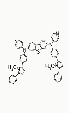 Cn1c(-c2ccccc2)ccc1-c1ccc(N(c2ccncc2)c2ccc3c(c2)sc2cc(N(c4ccncc4)c4ccc(-c5ccc(-c6ccccc6)n5C)cc4)ccc23)cc1